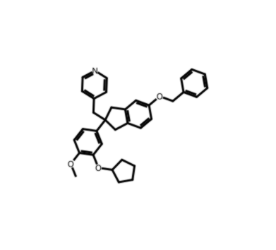 COc1ccc(C2(Cc3ccncc3)Cc3ccc(OCc4ccccc4)cc3C2)cc1OC1CCCC1